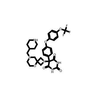 O=C1NC(=O)C(c2ccc(Oc3ccc(OC(F)(F)F)cc3)cc2)(N2CC3(CN(CC4CCNCC4)CCO3)C2)C(=O)N1